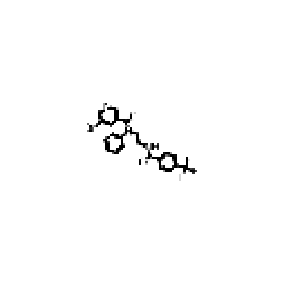 O=C(NCCN(C(=O)c1cncc(Br)c1)c1ccccc1)c1ccc(C(F)(F)F)cc1